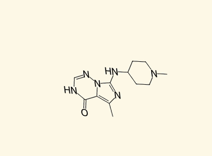 Cc1nc(NC2CCN(C)CC2)n2nc[nH]c(=O)c12